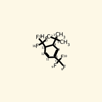 CC(C)(C)C1C=C(C(F)(F)F)C=CC1C(F)(F)F